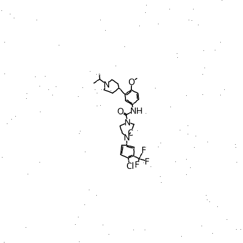 COc1ccc(NC(=O)N2CCN(c3ccc(Cl)c(C(F)(F)F)c3)CC2)cc1C1CCN(C(C)C)CC1